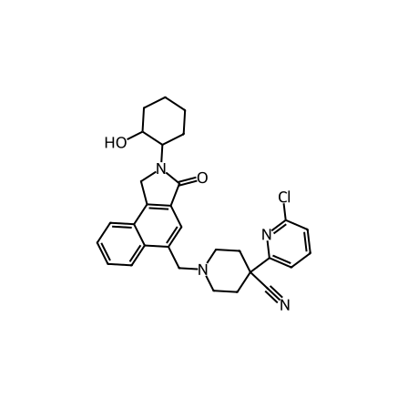 N#CC1(c2cccc(Cl)n2)CCN(Cc2cc3c(c4ccccc24)CN(C2CCCCC2O)C3=O)CC1